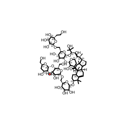 C[C@H](CC[C@@H](O[C@@H]1O[C@H](CO[C@@H]2O[C@H](CCO)[C@@H](O)[C@H](O)[C@H]2O)[C@@H](O)[C@H](O)[C@H]1O[C@@H]1O[C@H](CO)C[C@H](O)[C@H]1O)C(C)(C)O)[C@H]1CC[C@@]2(C)[C@@H]3CC=C4[C@@H](CC[C@H](O[C@@H]5O[C@H](CO[C@@H]6O[C@H](CO)[C@@H](O[C@H]7O[C@H](CO)C[C@H](O)[C@H]7O)[C@H](O)[C@H]6O)[C@@H](O)[C@H](O)[C@H]5O)C4(C)C)[C@]3(C)C(=O)C[C@]12C